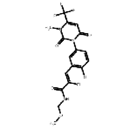 COCNC(=O)/C(Cl)=C/c1cc(-n2c(=O)cc(C(F)(F)F)n(C)c2=O)ccc1Cl